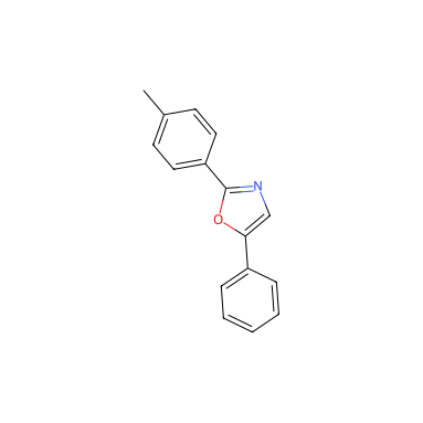 Cc1ccc(-c2ncc(-c3ccccc3)o2)cc1